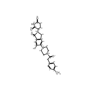 Cc1ccc(CC(=O)N2CCN(c3cc4c(cc3F)C(=O)N(C3CCC(=O)NC3=O)C4)CC2)cc1